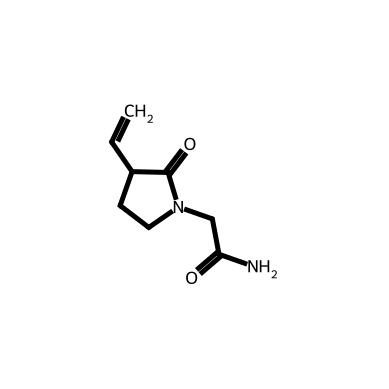 C=CC1CCN(CC(N)=O)C1=O